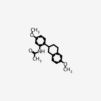 COc1ccc2c(c1)CCC(c1ccc(OC)cc1NC(C)=O)C2